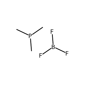 CP(C)C.FB(F)F